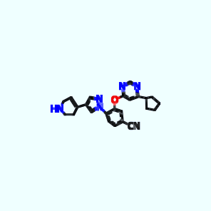 N#Cc1ccc(-n2cc(C3=CCNCC3)cn2)c(Oc2cc(C3CCCC3)ncn2)c1